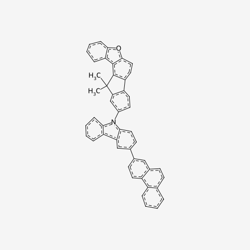 CC1(C)c2cc(-n3c4ccccc4c4cc(-c5ccc6c(ccc7ccccc76)c5)ccc43)ccc2-c2ccc3oc4ccccc4c3c21